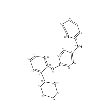 c1ccc(Nc2ccc(Oc3ncccc3C3CCCCO3)cc2)nc1